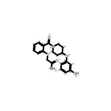 NC(=O)CSc1ccccc1C(=O)N1CCC(Oc2cccc(O)c2)CC1